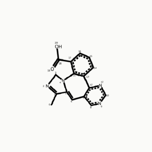 CC1=NCN2C1=Cc1cncnc1-c1cccc(C(=O)O)c12